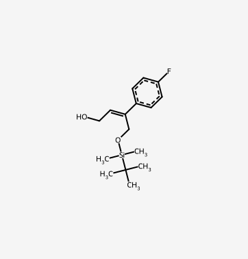 CC(C)(C)[Si](C)(C)OCC(=CCO)c1ccc(F)cc1